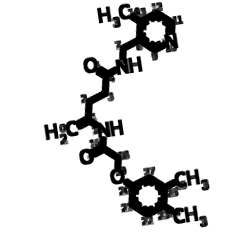 C=C(CCC(=O)NCc1cnccc1C)NC(=O)COc1ccc(C)c(C)c1